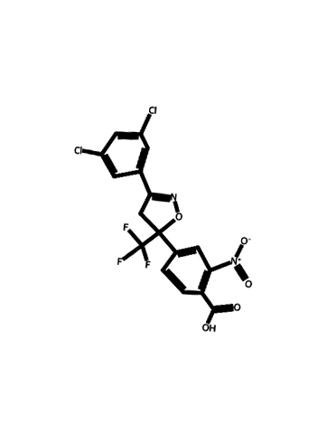 O=C(O)c1ccc(C2(C(F)(F)F)CC(c3cc(Cl)cc(Cl)c3)=NO2)cc1[N+](=O)[O-]